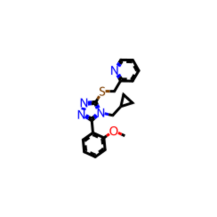 COc1ccccc1-c1nnc(SCc2ccccn2)n1CC1CC1